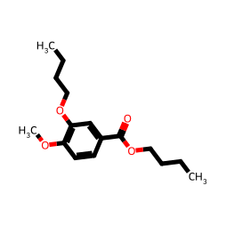 CCCCOC(=O)c1ccc(OC)c(OCCCC)c1